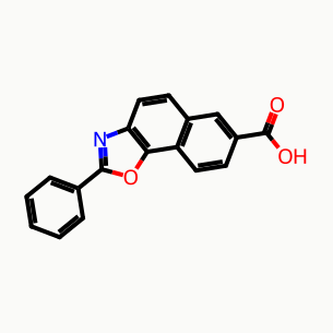 O=C(O)c1ccc2c(ccc3nc(-c4ccccc4)oc32)c1